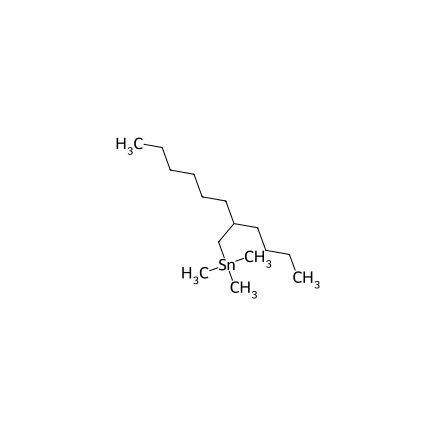 CCCCCCC(CCCC)[CH2][Sn]([CH3])([CH3])[CH3]